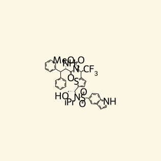 COC(=O)N(C(=O)[C@@H](N)C(c1ccccc1)c1ccccc1)[C@H](c1ccc([C@@H](CO)N(C(C)C)S(=O)(=O)c2ccc3[nH]ccc3c2)s1)C(F)(F)F